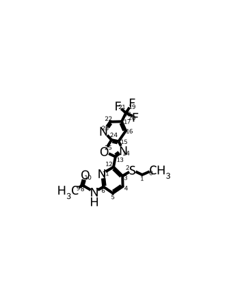 CCSc1ccc(NC(C)=O)nc1-c1nc2cc(C(F)(F)F)cnc2o1